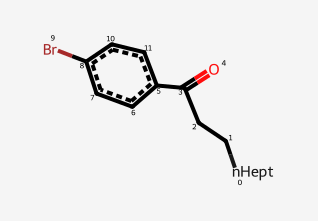 CCCCCCCCCC(=O)c1ccc(Br)cc1